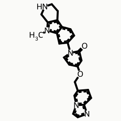 Cn1c2c(c3ccc(-n4ccc(OCc5ccc6nccn6c5)cc4=O)cc31)CCNC2